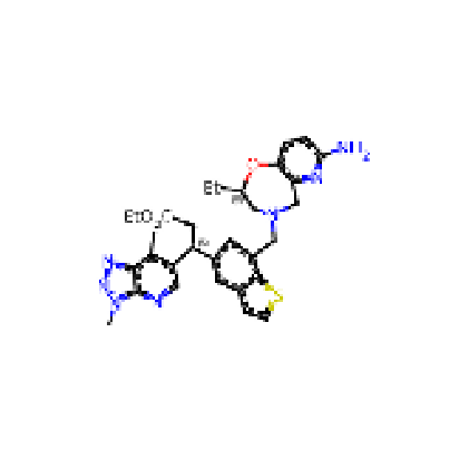 CCOC(=O)C[C@@H](c1cc(CN2Cc3nc(N)ccc3O[C@H](CC)C2)c2sccc2c1)c1cnc2c(nnn2C)c1C